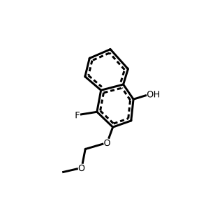 COCOc1cc(O)c2ccccc2c1F